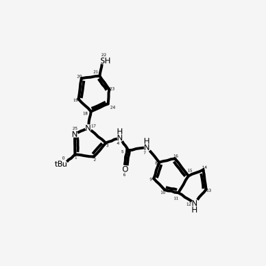 CC(C)(C)c1cc(NC(=O)Nc2ccc3[nH]ccc3c2)n(-c2ccc(S)cc2)n1